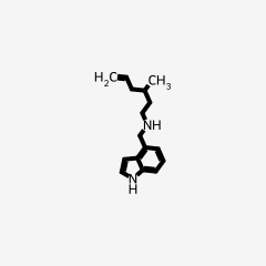 C=CCC(C)CCNCc1cccc2[nH]ccc12